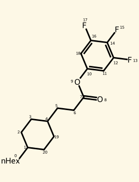 CCCCCCC1CCC(CCC(=O)Oc2cc(F)c(F)c(F)c2)CC1